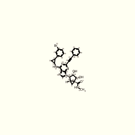 CNC(=O)[C@@]12C[C@@H]1[C@@H](n1cnc3c(NC4CC4c4cccc(Br)c4)nc(C#Cc4ccccc4)nc31)[C@H](O)[C@@H]2O